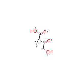 O=C(O)CC(=O)CO.[V]